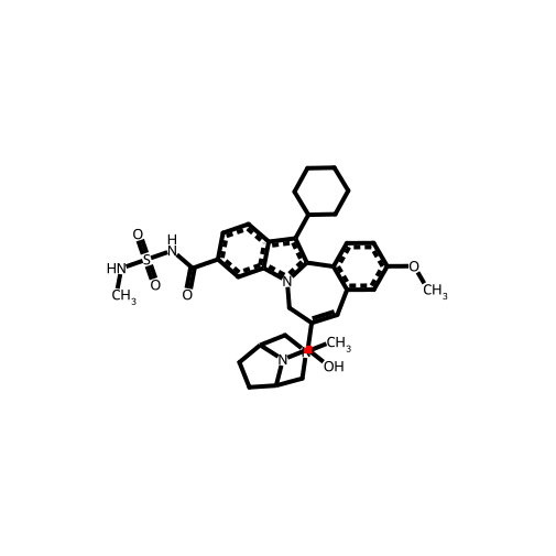 CNS(=O)(=O)NC(=O)c1ccc2c(C3CCCCC3)c3n(c2c1)CC(C(O)N1C2CCC1CN(C)C2)=Cc1cc(OC)ccc1-3